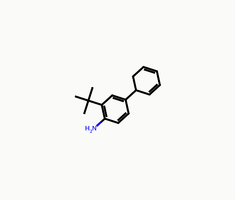 CC(C)(C)c1cc(C2C=CC=CC2)ccc1N